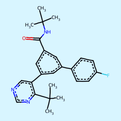 CC(C)(C)NC(=O)c1cc(-c2ccc(F)cc2)cc(-c2cncnc2C(C)(C)C)c1